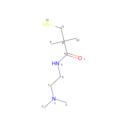 CN(C)CCNC(=O)C(C)(C)CS